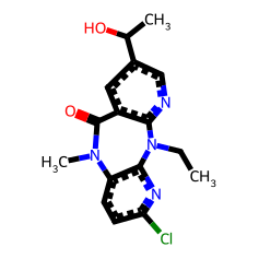 CCN1c2ncc(C(C)O)cc2C(=O)N(C)c2ccc(Cl)nc21